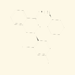 N[C@H]1CCCC[C@@H]1N1C(=O)c2ccccc2C[C@@H]1c1ccc(Cl)cc1Cl